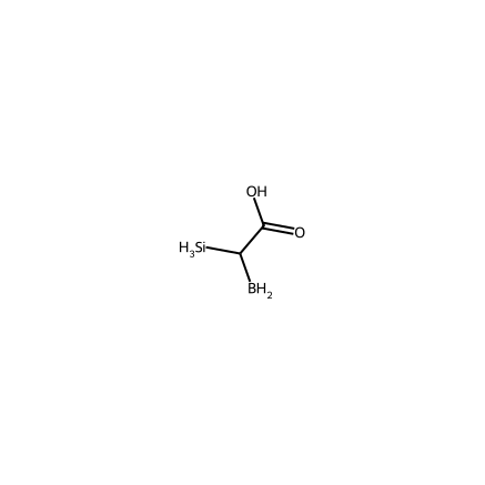 BC([SiH3])C(=O)O